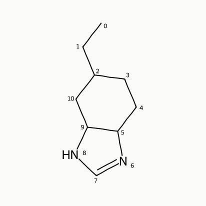 CCC1CCC2N=CNC2C1